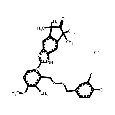 COc1cc[n+](-c2nc3cc4c(cc3[nH]2)C(C)(C)C(=O)C4(C)C)c(CSSCc2ccc(Cl)c(Cl)c2)c1C.[Cl-]